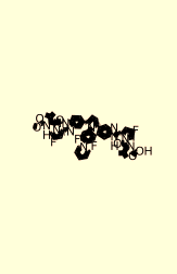 COC(=O)N[C@H](C(=O)N1C[C@H](F)C[C@H]1c1nc2cc([C@H]3CC[C@H](c4ccc5[nH]c([C@@H]6C[C@@H](F)CN6C(=O)[C@@H](NC(=O)O)C(C)C)nc5c4)N3c3cc(F)c(N4CCCCC4)c(F)c3)ccc2[nH]1)C(C)C